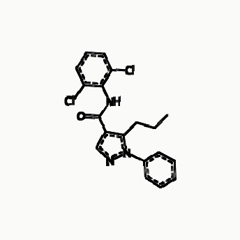 CCCc1c(C(=O)Nc2c(Cl)cccc2Cl)cnn1-c1ccccc1